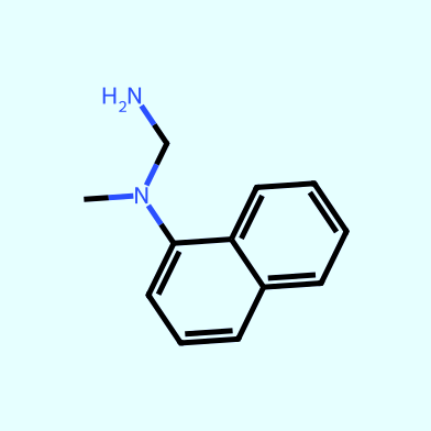 CN(CN)c1cccc2ccccc12